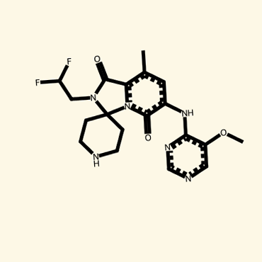 COc1cncnc1Nc1cc(C)c2n(c1=O)C1(CCNCC1)N(CC(F)F)C2=O